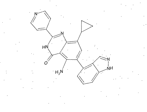 Nc1c(-c2cccc3[nH]ncc23)cc(C2CC2)c2nc(-c3ccncc3)[nH]c(=O)c12